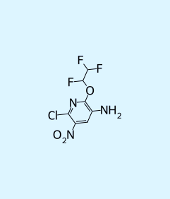 Nc1cc([N+](=O)[O-])c(Cl)nc1OC(F)C(F)F